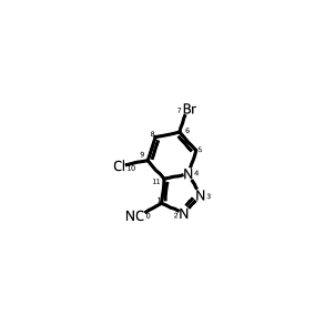 N#Cc1nnn2cc(Br)cc(Cl)c12